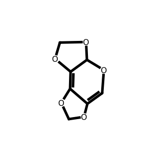 C1=C2OCOC2=C2OCOC2O1